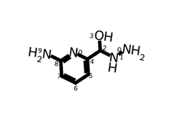 NNC(O)c1cccc(N)n1